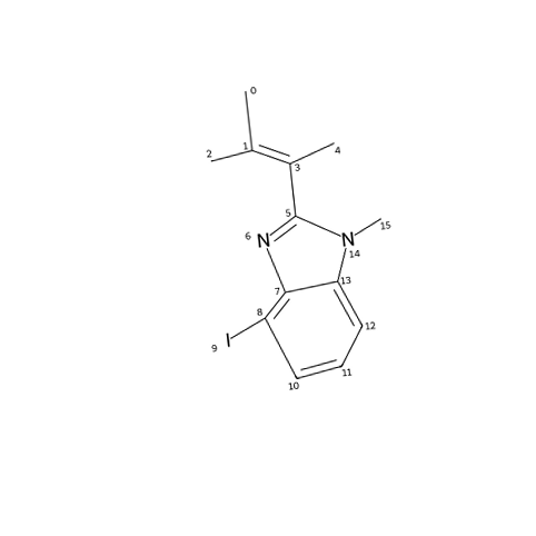 CC(C)=C(C)c1nc2c(I)cccc2n1C